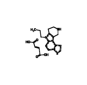 CCCn1c2c(c3c4ccsc4ccc31)CNCC2.O=C(O)C=CC(=O)O